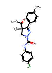 COC(=O)C1(C)CN(C(=O)Nc2ccc(Cl)cc2)N=C1c1ccc(OC)cc1